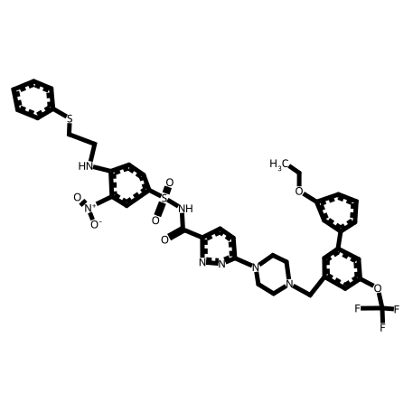 CCOc1cccc(-c2cc(CN3CCN(c4ccc(C(=O)NS(=O)(=O)c5ccc(NCCSc6ccccc6)c([N+](=O)[O-])c5)nn4)CC3)cc(OC(F)(F)F)c2)c1